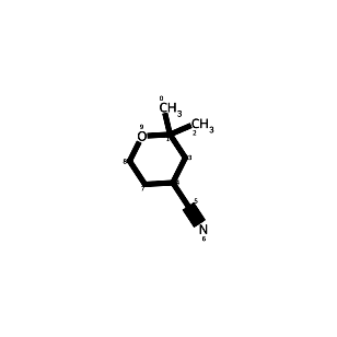 CC1(C)CC(C#N)CCO1